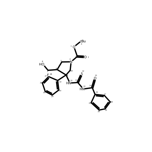 CC(C)(C)OC(=O)N1CC(CO)C(NC(=S)NC(=O)c2ccccc2)(c2ccccc2F)C1